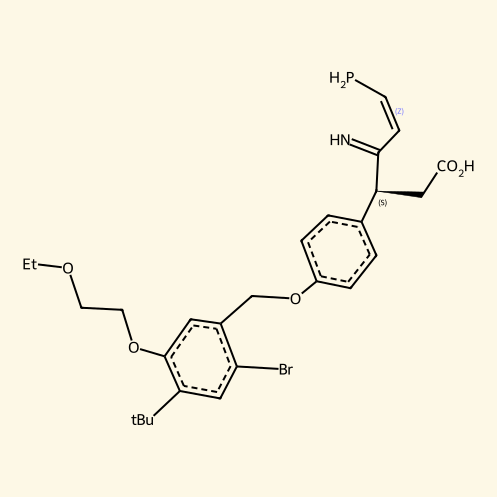 CCOCCOc1cc(COc2ccc([C@H](CC(=O)O)C(=N)/C=C\P)cc2)c(Br)cc1C(C)(C)C